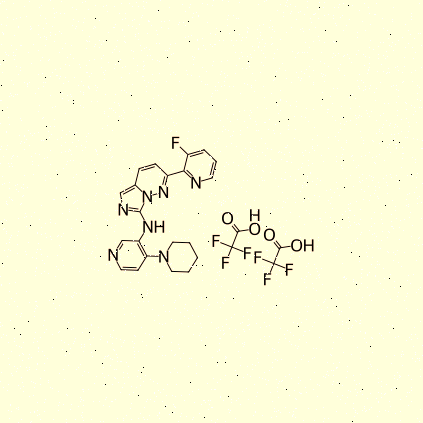 Fc1cccnc1-c1ccc2cnc(Nc3cnccc3N3CCCCC3)n2n1.O=C(O)C(F)(F)F.O=C(O)C(F)(F)F